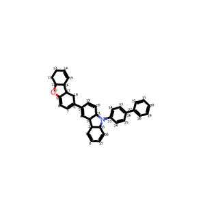 C1=CC2C3C=C(C4=CC=C5OC6CCC=CC6C5C4)C=CC3N(c3ccc(-c4ccccc4)cc3)C2C=C1